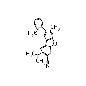 Cc1cc2oc3cc(C#N)c(C(C)C)cc3c2cc1-c1cccc[n+]1C